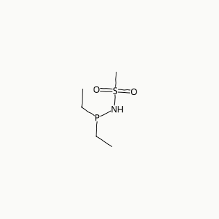 CCP(CC)NS(C)(=O)=O